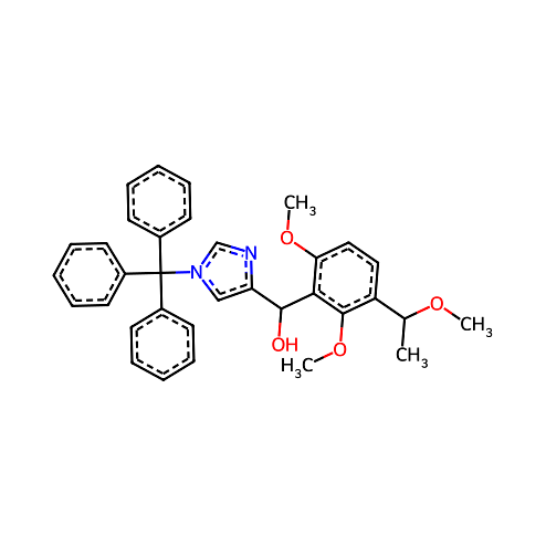 COc1ccc(C(C)OC)c(OC)c1C(O)c1cn(C(c2ccccc2)(c2ccccc2)c2ccccc2)cn1